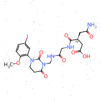 COc1ccc(I)cc1N1CCC(=O)N(CNC(=O)CNC(=O)[C@@H](CC(N)=O)CC(=O)O)C1=O